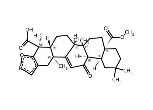 COC(=O)[C@]12CCC(C)(C)C[C@H]1[C@H]1C(=O)C=C3[C@@]4(C)Cc5cnoc5[C@@](C)(C(=O)O)[C@@H]4CC[C@@]3(C)[C@]1(C)CC2